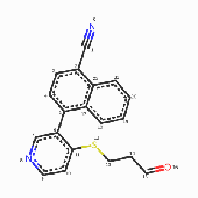 N#Cc1ccc(-c2cnccc2SCCC=O)c2ccccc12